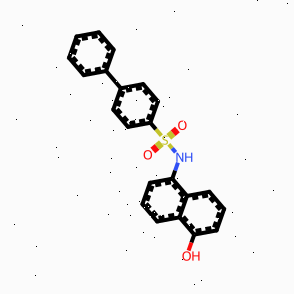 O=S(=O)(Nc1cccc2c(O)cccc12)c1ccc(-c2ccccc2)cc1